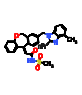 CCCc1nc2c(C)cccc2n1Cc1ccc2c(c1)COc1ccccc1/C2=C/C(=O)NS(C)(=O)=O